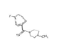 CN1CCN(C(=O)c2[c]ccc(F)c2)CC1